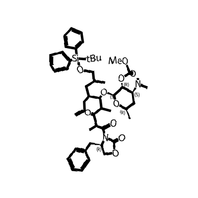 C=CCC(CC(C)CO[Si](c1ccccc1)(c1ccccc1)C(C)(C)C)C(O[C@@H]1O[C@H](C)C[C@H](N(C)C)[C@H]1OC(=O)OC)C(C)C(=O)C(C)C(=O)N1C(=O)OC[C@H]1Cc1ccccc1